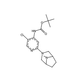 CN1C2CCC1CN(c1cc(NC(=O)OC(C)(C)C)c(Cl)cn1)C2